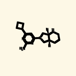 Nc1nc(C2CCC2)cc(N2C[C@@H]3CCCN[C@@H]3C2)n1